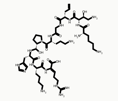 C=CC[C@H](NC(=O)[C@@H](NC(=O)[C@@H](N)CCCCN)[C@@H](O)CN)C(=O)NCC(=O)N[C@H](CCCN)C(=O)N1CCC[C@H]1C(O)N[C@@H](Cc1cnc[nH]1)C(=O)N[C@@H](CCCCN)C(=O)N/C(=C\CCNC(=N)N)C(=O)O